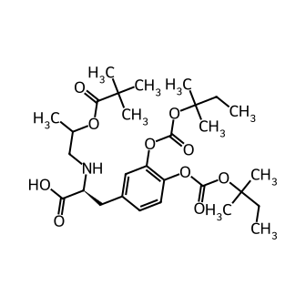 CCC(C)(C)OC(=O)Oc1ccc(C[C@H](NCC(C)OC(=O)C(C)(C)C)C(=O)O)cc1OC(=O)OC(C)(C)CC